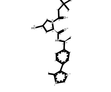 Cc1ncsc1-c1ccc([C@H](C)NC(=O)[C@@H]2CC(O)CN2C(=O)CC(C)(C)C)cc1